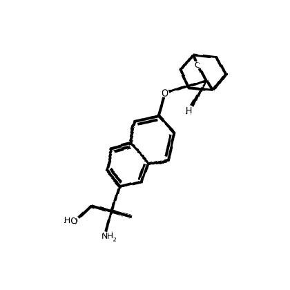 CC(N)(CO)c1ccc2cc(O[C@@H]3CC4CCC3CC4)ccc2c1